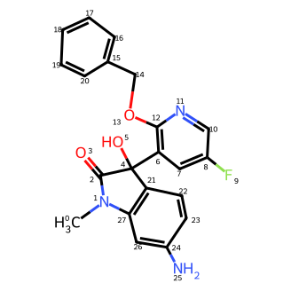 CN1C(=O)C(O)(c2cc(F)cnc2OCc2ccccc2)c2ccc(N)cc21